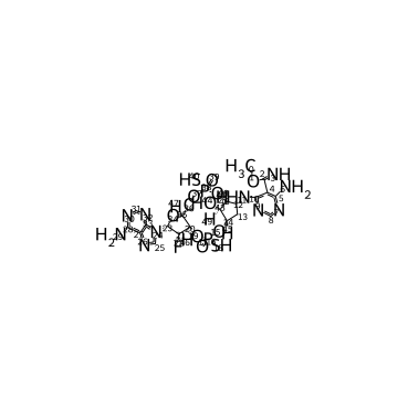 COC(=N)c1c(N)ncnc1N[C@@H]1C[C@@H]2OP(=O)(S)O[C@H]3[C@@H](F)[C@H](n4cnc5c(N)ncnc54)O[C@@H]3COP(=O)(S)O[C@@H]1[C@@H]2O